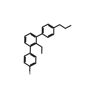 CCCc1ccc(-c2cccc(-c3ccc([S])cc3)c2CC)cc1